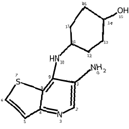 Nc1cnc2ccsc2c1NC1CCC(O)CC1